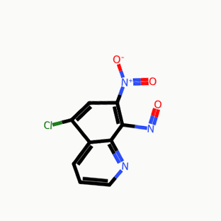 O=Nc1c([N+](=O)[O-])cc(Cl)c2cccnc12